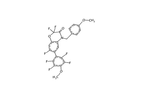 COc1ccc(CN2C(=O)C(F)(F)Oc3cc(F)c(-c4c(F)c(F)c(OC)c(F)c4F)cc32)cc1